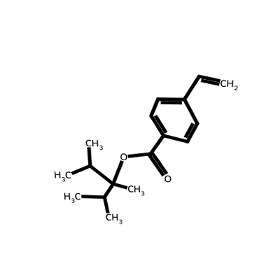 C=Cc1ccc(C(=O)OC(C)(C(C)C)C(C)C)cc1